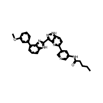 CCCCC(=O)Nc1cncc(-c2ccc3[nH]nc(-c4nc5c(-c6cccc(OC)c6)cccc5[nH]4)c3n2)c1